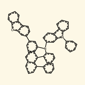 c1ccc(-c2cccc3cccc(-c4ccccc4N(c4cccc(-c5ccc6c(c5)oc5ccccc56)c4)c4ccc5c6ccccc6n(-c6ccccc6)c5c4)c23)cc1